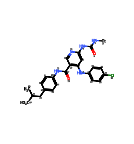 CCNC(=O)Nc1cc(Nc2ccc(Cl)cc2)c(C(=O)Nc2ccc(CC(C)C(=O)O)cc2)cn1